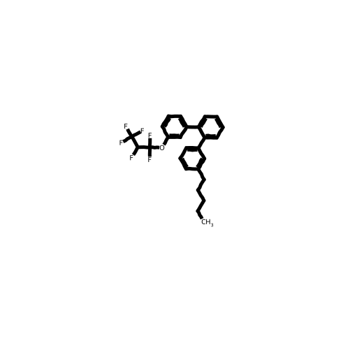 CCCCCc1cccc(-c2ccccc2-c2cccc(OC(F)(F)C(F)C(F)(F)F)c2)c1